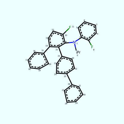 CC(C)N(c1ccccc1F)c1c(F)ccc(-c2ccccc2)c1-c1ccc(-c2ccccc2)cc1